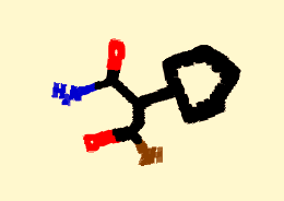 NC(=O)C(C(=O)S)c1ccccc1